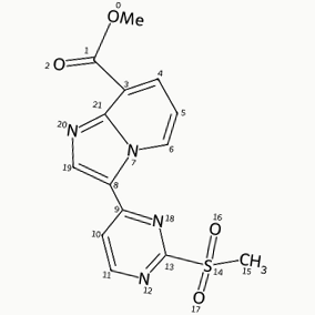 COC(=O)c1cccn2c(-c3ccnc(S(C)(=O)=O)n3)cnc12